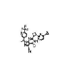 C[C@@H](c1ccc(C(F)(F)F)nc1)n1nc(C#N)c2c(=O)[nH]c(C3CC[C@H]3c3nccc(C4CC4)n3)nc21